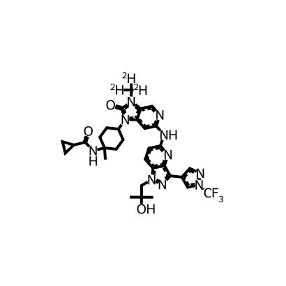 [2H]C([2H])([2H])n1c(=O)n(C2CCC(C)(NC(=O)C3CC3)CC2)c2cc(Nc3ccc4c(n3)c(-c3cnn(C(F)(F)F)c3)nn4CC(C)(C)O)ncc21